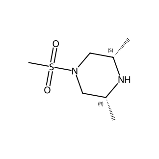 C[C@@H]1CN(S(C)(=O)=O)C[C@H](C)N1